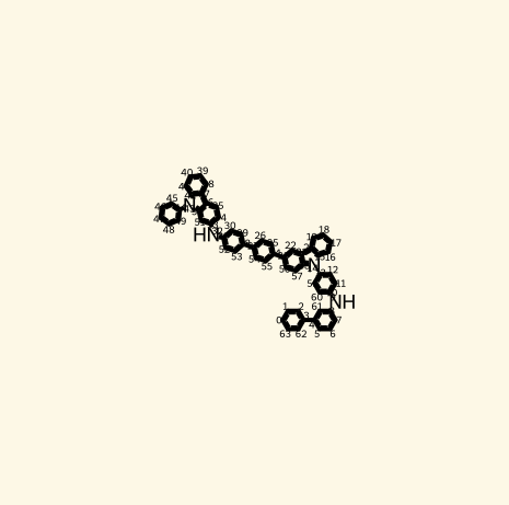 c1ccc(-c2cccc(Nc3ccc(-n4c5ccccc5c5cc(-c6ccc(-c7ccc(Nc8ccc9c%10ccccc%10n(-c%10ccccc%10)c9c8)cc7)cc6)ccc54)cc3)c2)cc1